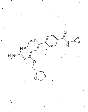 Nc1nc(OC[C@@H]2CCCO2)c2cc(-c3ccc(C(=O)NC4CC4)cc3)ccc2n1